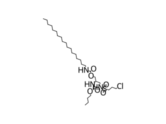 CCCCCCCCCCCCCCCCCCNC(=O)OCC(CNS(=O)(=O)CCCCl)NC(=O)OCCCC